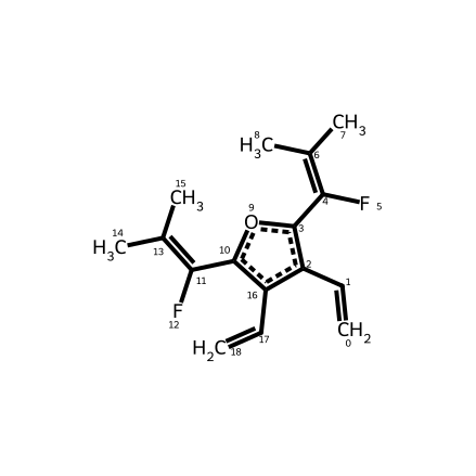 C=Cc1c(C(F)=C(C)C)oc(C(F)=C(C)C)c1C=C